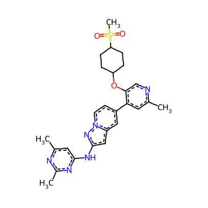 Cc1cc(-c2ccn3nc(Nc4cc(C)nc(C)n4)cc3c2)c(OC2CCC(S(C)(=O)=O)CC2)cn1